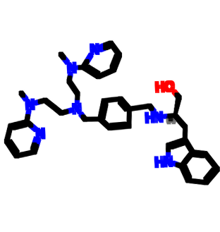 CN(CCN(CCN(C)c1ccccn1)Cc1ccc(CN[C@@H](CO)Cc2c[nH]c3ccccc23)cc1)c1ccccn1